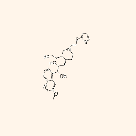 COc1cnc2cccc([C@@H](O)[C@H](O)C[C@@H]3CCN(CCSc4cccs4)C[C@@H]3CCO)c2c1